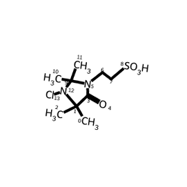 CC1(C)C(=O)N(CCS(=O)(=O)O)C(C)(C)N1Cl